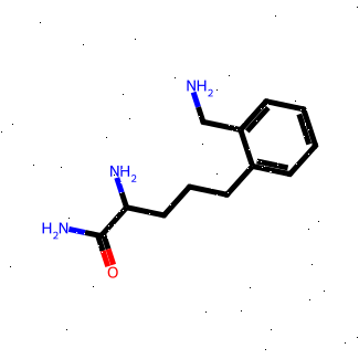 NCc1ccccc1CCCC(N)C(N)=O